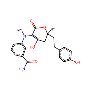 CCCN(C1=C(O)CC(CCc2ccc(O)cc2)(C(C)C)OC1=O)c1cccc(C(N)=O)c1